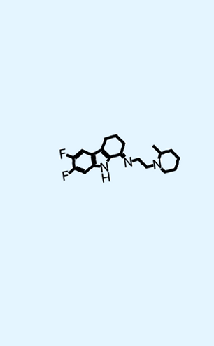 CC1CCCCN1CC/N=C1\CCCc2c1[nH]c1cc(F)c(F)cc21